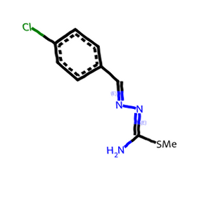 CS/C(N)=N/N=C/c1ccc(Cl)cc1